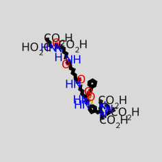 O=C(O)CC[C@H](NC(=O)N[C@@H](CCCCNC(=O)CCCCCCC(=O)NCCCCC(NC(=S)Nc1ccc(CC2CN(CC(=O)O)CCN(CC(=O)O)CCN2CC(=O)O)cc1)C(=O)OCc1ccccc1)C(=O)O)C(=O)O